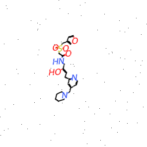 O=C(CS(=O)(=O)Cc1ccoc1)NC/C(O)=C/Cc1cc(CN2CCCCC2)ccn1